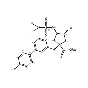 COC(=O)[C@@]1(Cc2cccc(-c3ncc(F)cn3)c2)C[C@H](F)[C@H](NS(=O)(=O)C2CC2)C1